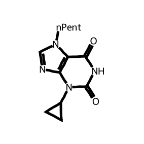 CCCCCn1cnc2c1c(=O)[nH]c(=O)n2C1CC1